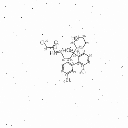 CCc1cccc(-c2c(Cl)cccc2C(O)(CCCNC(=O)CCl)[C@@H]2CCCNC2)c1